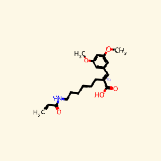 C=CC(=O)NCCCCCC/C(=C\c1cc(OC)cc(OC)c1)C(=O)O